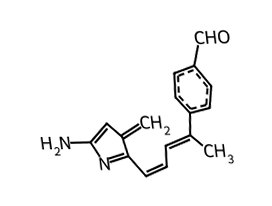 C=C1C=C(N)N=C1/C=C\C=C(/C)c1ccc(C=O)cc1